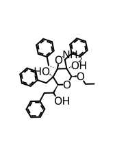 CCO[C@H]1O[C@@H](C(O)Cc2ccccc2)[C@@](O)(Cc2ccccc2)[C@@](Cc2ccccc2)(ON)[C@@]1(O)Cc1ccccc1